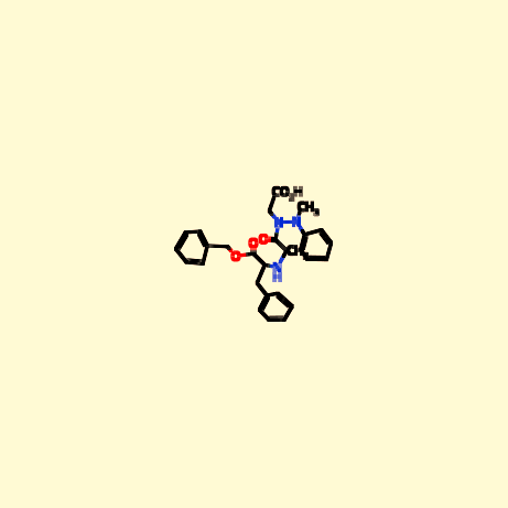 CC(NC(Cc1ccccc1)C(=O)OCc1ccccc1)C(=O)N(CC(=O)O)N(C)c1ccccc1